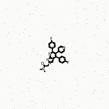 CN(C)C(=O)Cn1cc2c(-c3ccc(F)cc3)c(-c3ccncc3)c(-c3ccc(F)cc3)nc2n1